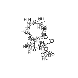 CNC(=O)c1ccccc1Sc1ccc2c(/C=C/c3ccccn3)nn(C(=O)N(CCOCc3oc(=O)oc3C)CCC(=O)N[C@H](C(=O)N[C@H](CCCN)C(=O)N[C@H]3CCNC(=O)[C@@H]([C@@H](C)O)NC(=O)[C@@H](CCN)NC(=O)[C@@H](CCN)NC(=O)[C@@H](CC(C)C)NC(=O)[C@@H](Cc4ccccc4)NC(=O)[C@@H](CCN)NC3=O)[C@@H](C)O)c2c1